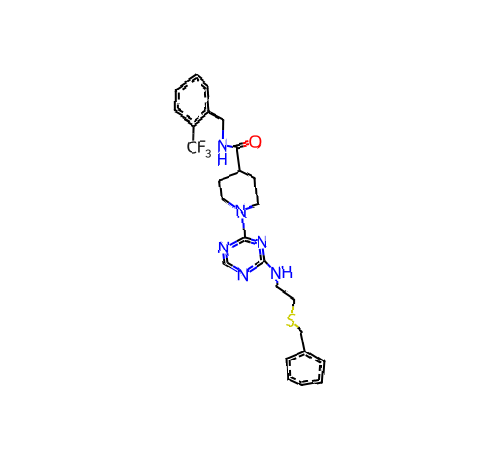 O=C(NCc1ccccc1C(F)(F)F)C1CCN(c2ncnc(NCCSCc3ccccc3)n2)CC1